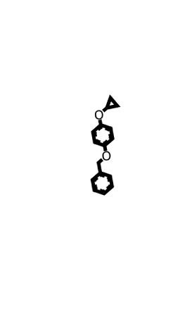 c1ccc(COc2ccc(OC3CC3)cc2)cc1